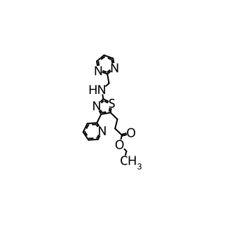 CCOC(=O)CCc1sc(NCc2ncccn2)nc1-c1ccccn1